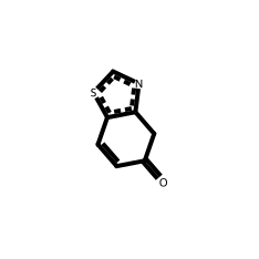 O=C1C=Cc2scnc2C1